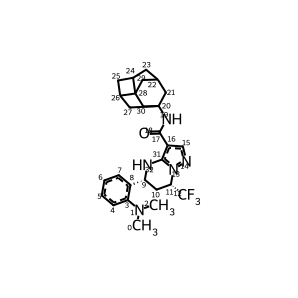 CN(C)c1ccccc1[C@H]1C[C@@H](C(F)(F)F)n2ncc(C(=O)NC34CC5CC6CC(C3)C6(C5)C4)c2N1